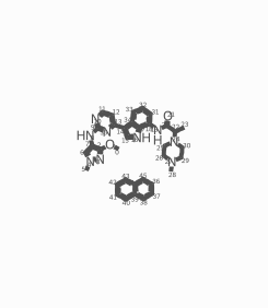 COc1nn(C)cc1Nc1nccc(-c2c[nH]c3c(NC(=O)C(C)N4CCN(C)CC4)cccc23)n1.c1ccc2ccccc2c1